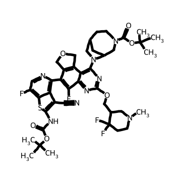 CN1CCC(F)(F)C(COc2nc(N3CC4CCN(C(=O)OC(C)(C)C)CC3C4)c3c4c(c(-c5ncc(F)c6sc(NC(=O)OC(C)(C)C)c(C#N)c56)c(F)c3n2)COC4)C1